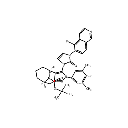 Cc1cc(-n2nc3c(c2-n2ccn(-c4ccc5cnccc5c4F)c2=O)[C@@H]2CCC[C@H](C3)N2C(=O)OC(C)(C)C)cc(C)c1F